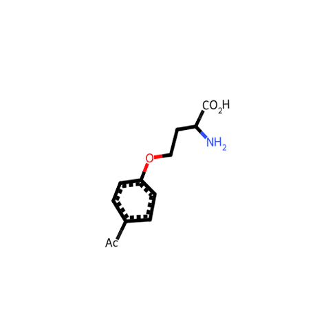 CC(=O)c1ccc(OCCC(N)C(=O)O)cc1